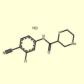 Cl.N#Cc1ccc(NC(=O)C2CNCCS2)cc1Cl